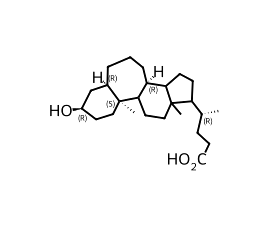 C[C@H](CCC(=O)O)C1CCC2[C@@H]3CCC[C@@H]4C[C@H](O)CC[C@]4(C)C3CCC21C